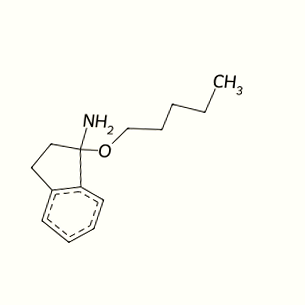 CCCCCOC1(N)CCc2ccccc21